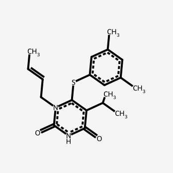 C/C=C/Cn1c(Sc2cc(C)cc(C)c2)c(C(C)C)c(=O)[nH]c1=O